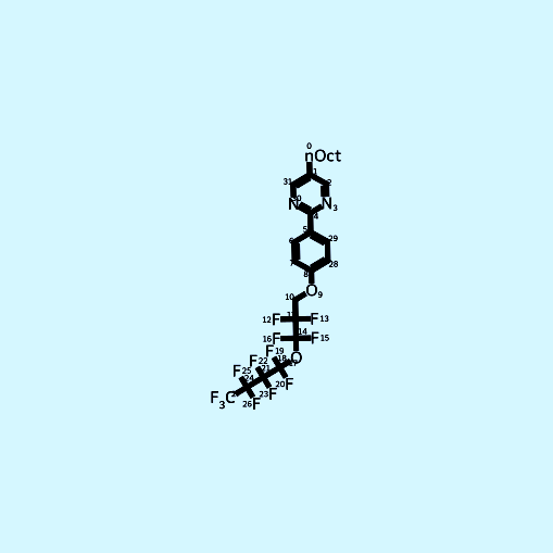 CCCCCCCCc1cnc(-c2ccc(OCC(F)(F)C(F)(F)OC(F)(F)C(F)(F)C(F)(F)C(F)(F)F)cc2)nc1